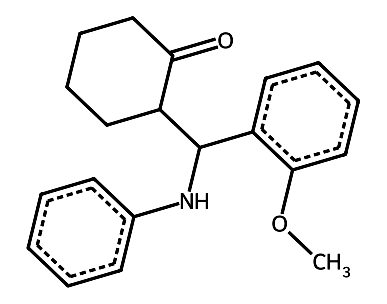 COc1ccccc1C(Nc1ccccc1)C1CCCCC1=O